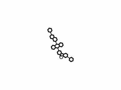 c1ccc(-c2ccc3cc(-c4c5ccccc5c(-c5ccc6oc7cc(-c8ccccc8)ccc7c6c5)c5ccccc45)ccc3c2)cc1